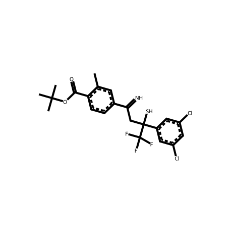 Cc1cc(C(=N)CC(S)(c2cc(Cl)cc(Cl)c2)C(F)(F)F)ccc1C(=O)OC(C)(C)C